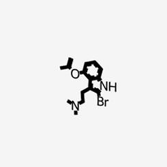 C=C(C)Oc1cccc2[nH]c(Br)c(CCN(C)C)c12